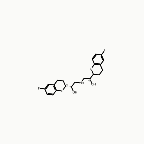 OC(CNC[C@H](O)C1CCc2cc(F)ccc2O1)[C@H]1CCc2cc(F)ccc2O1